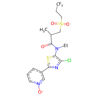 CCN(C(=O)C(C)CS(=O)(=O)CCC(F)(F)F)c1sc(-c2ccc[n+]([O-])c2)nc1Cl